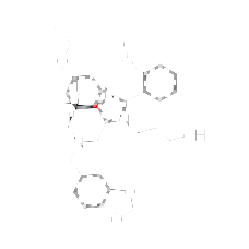 CCCCn1c(-c2ccccc2OC)nc(C(F)(F)F)c1CN(Cc1cccc(OCC)c1)Cc1ccc2c(c1)OCO2